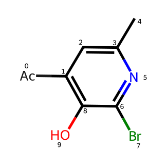 CC(=O)c1cc(C)nc(Br)c1O